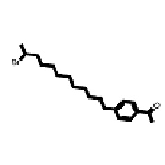 CC(=O)c1ccc(CCCCCCCCCCC(C)Br)cc1